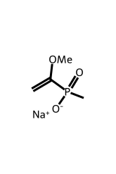 C=C(OC)P(C)(=O)[O-].[Na+]